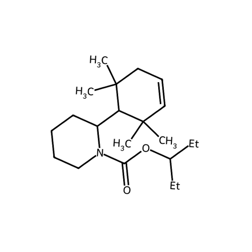 CCC(CC)OC(=O)N1CCCCC1C1C(C)(C)C=CCC1(C)C